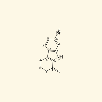 C=C1CCCc2c1[nH]c1cc(Br)ccc21